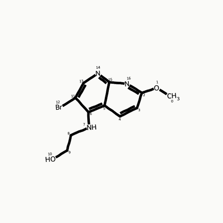 COc1ccc2c(NCCO)c(Br)cnc2n1